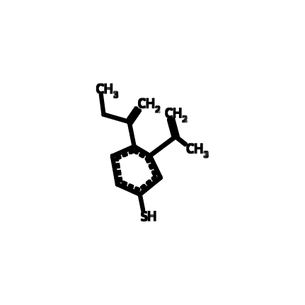 C=C(C)c1cc(S)ccc1C(=C)CC